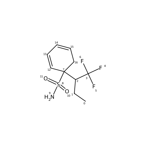 CCC(C(F)(F)F)C1(S(N)(=O)=O)C=CC=CC1